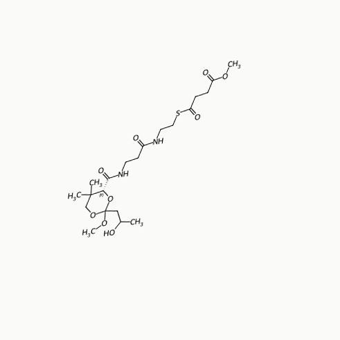 COC(=O)CCC(=O)SCCNC(=O)CCNC(=O)[C@@H]1OC(CC(C)O)(OC)OCC1(C)C